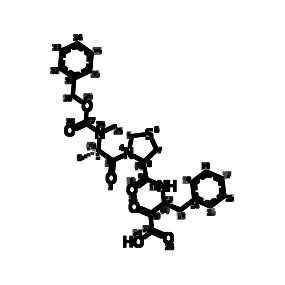 C[C@@H](C(=O)N1CSC[C@H]1C(=O)N[C@@H](Cc1ccccc1)C(=O)C(=O)O)N(C)C(=O)OCc1ccccc1